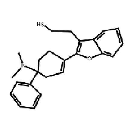 CN(C)C1(c2ccccc2)CC=C(c2oc3ccccc3c2CCS)CC1